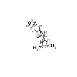 Cc1cc(C)n2ccc(C(=O)NC3CCC4(CCOCC4)CC3)c2n1